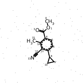 COC(=O)c1ccc(C2CC2)c(C#N)c1C